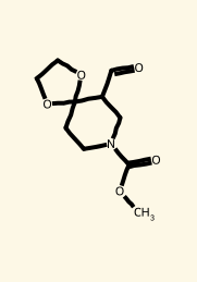 COC(=O)N1CCC2(OCCO2)C(C=O)C1